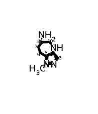 Cn1ncc2c1CC[C@H](N)CN2